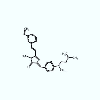 C=Cc1cccc(/C=C/C2=NC(=C\c3ccc(N(C)CCN(C)C)cc3)/C(=O)N2C)c1